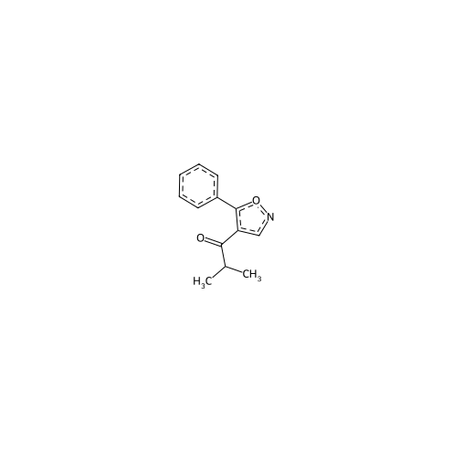 CC(C)C(=O)c1cnoc1-c1ccccc1